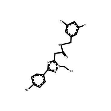 N#Cc1ccc(-c2nc(CC(=O)NCc3cc(Cl)cc(Cl)c3)n(CO)n2)cc1